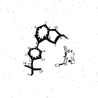 CC1=Cc2c(cccc2-c2ccc(C(C)(C)C)cc2)[CH]1.[SiH3][Zr]([Cl])[Cl]